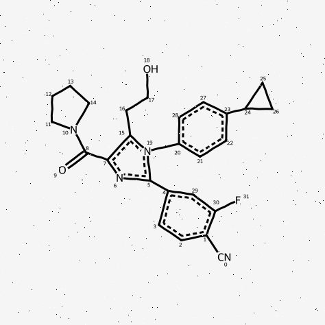 N#Cc1ccc(-c2nc(C(=O)N3CCCC3)c(CCO)n2-c2ccc(C3CC3)cc2)cc1F